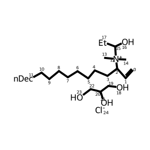 C=CC(CCCCCCCCCCCCCCCCCC)[N+](C)(C)C(O)CC.OCC(O)CO.[Cl-]